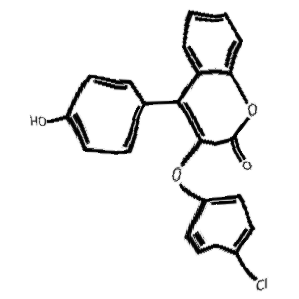 O=c1oc2ccccc2c(-c2ccc(O)cc2)c1Oc1ccc(Cl)cc1